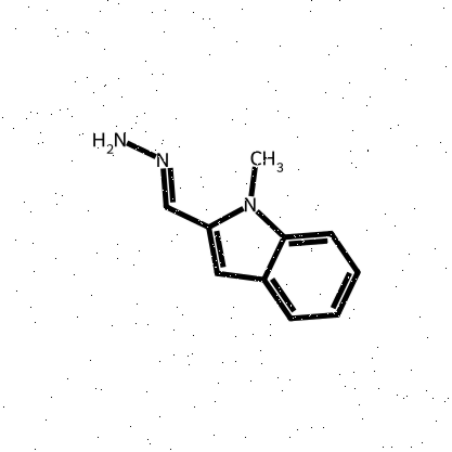 Cn1c(C=NN)cc2ccccc21